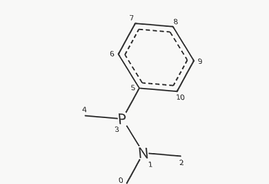 CN(C)P(C)c1ccccc1